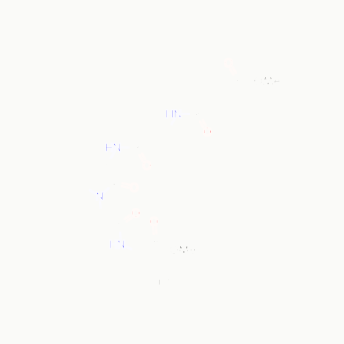 COC(=O)CCC(=O)NCCC(=O)NC1CC(C)N(C(C)C(=O)NC(CC(C)C)C(=O)OC)C1=O